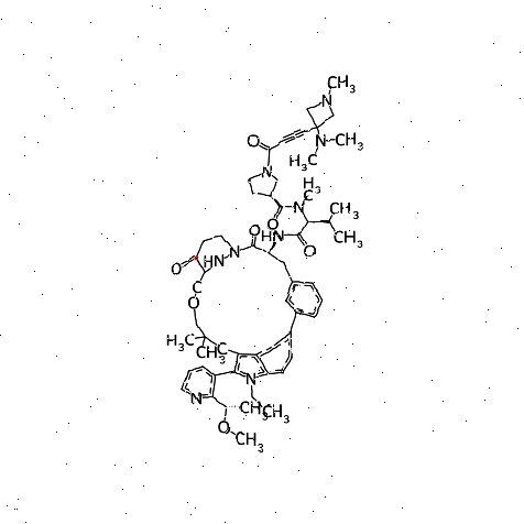 CCn1c(-c2cccnc2[C@H](C)OC)c2c3cc(ccc31)-c1cccc(c1)C[C@H](NC(=O)[C@H](C(C)C)N(C)C(=O)[C@H]1CCN(C(=O)C#CC3(N(C)C)CN(C)C3)C1)C(=O)N1CCC[C@](C=O)(COCC(C)(C)C2)N1